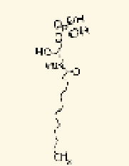 C=CCCCCCCCCC(=O)NCC(O)COP(=O)(O)O